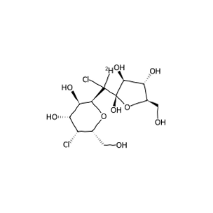 [2H]C(Cl)([C@H]1O[C@H](CO)[C@H](Cl)[C@H](O)[C@H]1O)[C@@]1(O)O[C@H](CO)[C@@H](O)[C@@H]1O